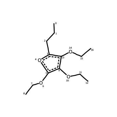 CCCc1oc(OCC)c(OCC)c1OCC